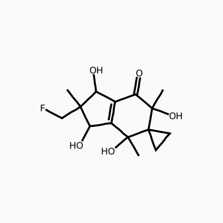 CC1(CF)C(O)C2=C(C1O)C(C)(O)C1(CC1)C(C)(O)C2=O